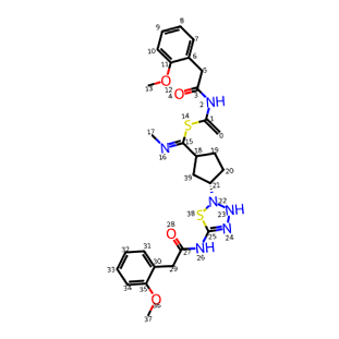 C=C(NC(=O)Cc1ccccc1OC)S/C(=N\C)C1CC[C@H](N2NN=C(NC(=O)Cc3ccccc3OC)S2)C1